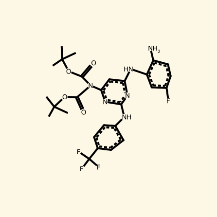 CC(C)(C)OC(=O)N(C(=O)OC(C)(C)C)c1cc(Nc2cc(F)ccc2N)nc(Nc2ccc(C(F)(F)F)cc2)n1